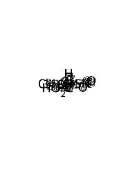 O=C(CSC[C@@]1(c2ccccc2)C[C@]1(NS(=O)(=O)c1ccc(-c2ccc(Cl)cc2)s1)C(=O)O)N1CCOCC1